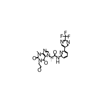 C[C@@H](C(=O)Nc1cccc(-c2cnc(C(F)(F)F)nc2)n1)n1cnc2c1c(=O)n(CC=O)c(=O)n2C